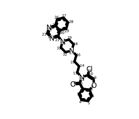 O=C1c2ccccc2OC=C(Cl)N1CCCCN1CCN(c2ncnc3ccccc23)CC1